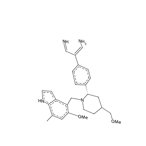 COCC1CCN(Cc2c(OC)cc(C)c3[nH]ccc23)[C@H](c2ccc(/C(C=N)=C/N)cc2)C1